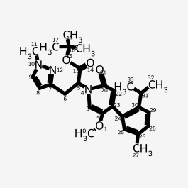 COc1cn(C(Cc2ccn(C)n2)C(=O)OC(C)(C)C)c(=O)cc1-c1cc(C)ccc1C(C)C